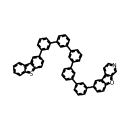 c1cc(-c2cccc(-c3cccc(-c4ccc5oc6cnccc6c5c4)c3)c2)cc(-c2cccc(-c3cccc(-c4ccc5sc6ccccc6c5c4)c3)c2)c1